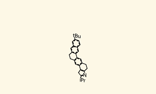 CC(C)C1=NC2=C(C1)c1cc3c(cc1CC2)-c1cc2ccc(C(C)(C)C)cc2cc1CC3